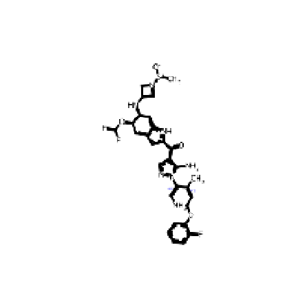 CC(=C/COc1ccccc1F)/C(=C\N)n1ncc(C(=O)c2cc3c([nH]2)=CC(NC2CN([S+](C)[O-])C2)C(OC(F)F)C=3)c1N